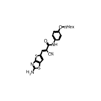 CCCCCCOc1ccc(NC(=O)/C(C#N)=C/c2cc3sc(N)nc3s2)cc1